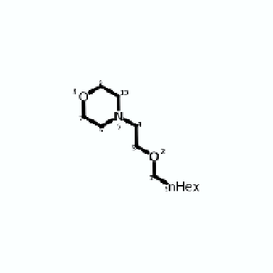 CCCCCCCOCCN1CCOCC1